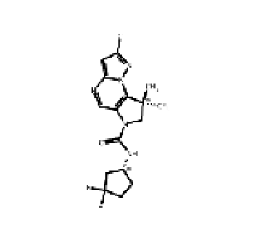 C[C@@]1(C(F)(F)F)CN(C(=O)N[C@@H]2CCC(F)(F)C2)c2cnc3cc(Cl)nn3c21